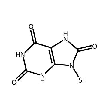 O=c1[nH]c(=O)c2[nH]c(=O)n(S)c2[nH]1